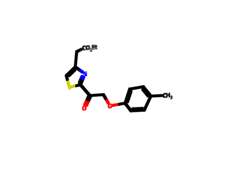 CCOC(=O)Cc1csc(C(=O)COc2ccc(C)cc2)n1